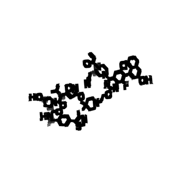 C=CC(=O)N1CCN(c2nc(OCCN3CCC(C)(COc4cc([C@@H](C(=O)N5C[C@H](O)C[C@H]5C(=O)N[C@@H](C)c5ccc(-c6scnc6C)cc5)C(C)C)on4)CC3)nc3c(F)c(-c4cc(O)cc5ccccc45)c(Cl)cc23)C[C@@H]1CC#N